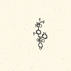 CN1CCN(S(=O)(=O)N(Cc2ccc(-c3nnc(C(F)F)o3)cc2F)c2cccnc2)CC1